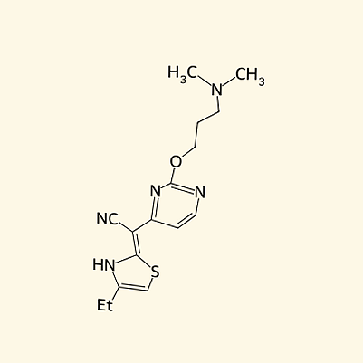 CCC1=CS/C(=C(/C#N)c2ccnc(OCCCN(C)C)n2)N1